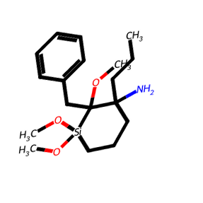 CCCC1(N)CCC[Si](OC)(OC)C1(Cc1ccccc1)OC